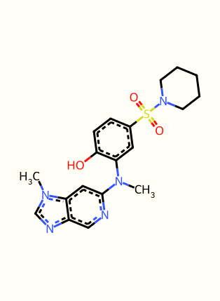 CN(c1cc2c(cn1)ncn2C)c1cc(S(=O)(=O)N2CCCCC2)ccc1O